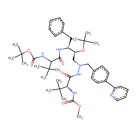 COC(=O)N[C@H](C(=O)NN(Cc1ccc(-c2ccccn2)cc1)C[C@H](OC(C)(C)C)[C@H](Cc1ccccc1)NC(=O)C(NC(=O)OC(C)(C)C)C(C)(C)C)C(C)(C)C